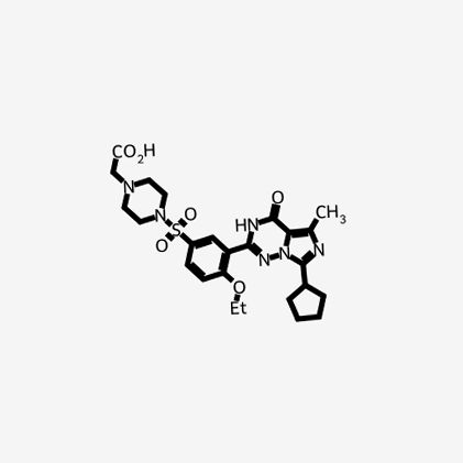 CCOc1ccc(S(=O)(=O)N2CCN(CC(=O)O)CC2)cc1-c1nn2c(C3CCCC3)nc(C)c2c(=O)[nH]1